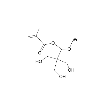 C=C(C)C(=O)OC(OC(C)C)C(CO)(CO)CO